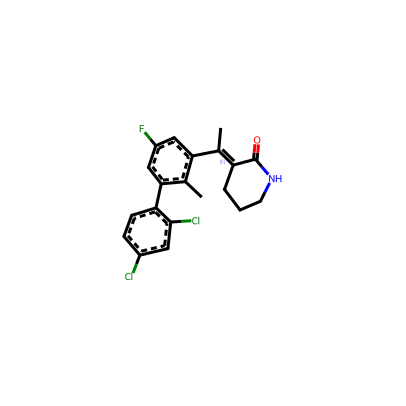 C/C(=C1/CCCNC1=O)c1cc(F)cc(-c2ccc(Cl)cc2Cl)c1C